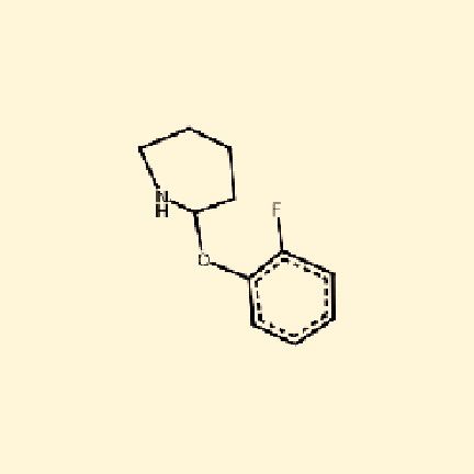 Fc1ccccc1OC1CCCCN1